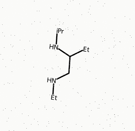 CCNCC(CC)NC(C)C